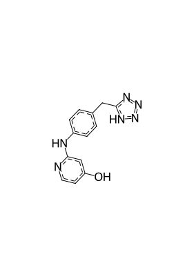 Oc1ccnc(Nc2ccc(Cc3nnn[nH]3)cc2)c1